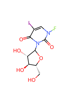 O=c1c(I)cn(F)c(=O)n1C1O[C@H](CO)[C@@H](O)[C@@H]1O